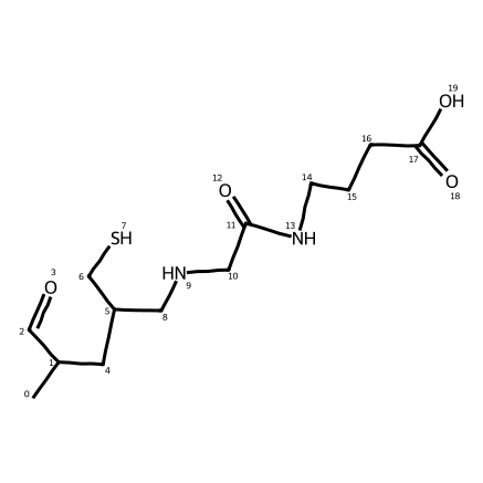 CC(C=O)CC(CS)CNCC(=O)NCCCC(=O)O